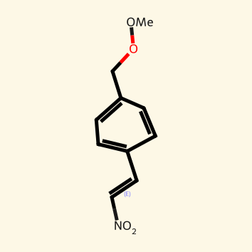 COOCc1ccc(/C=C/[N+](=O)[O-])cc1